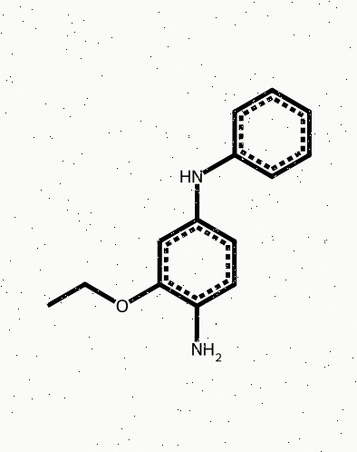 CCOc1cc(Nc2ccccc2)ccc1N